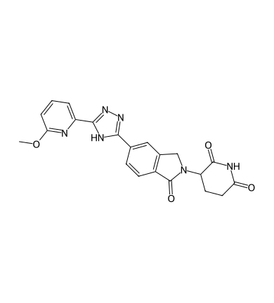 COc1cccc(-c2nnc(-c3ccc4c(c3)CN(C3CCC(=O)NC3=O)C4=O)[nH]2)n1